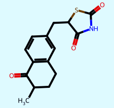 CC1CCc2cc(CC3SC(=O)NC3=O)ccc2C1=O